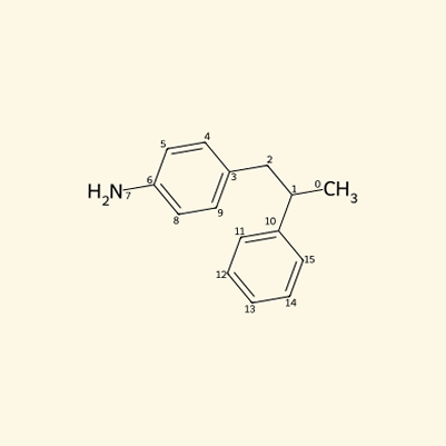 CC(Cc1ccc(N)cc1)c1ccccc1